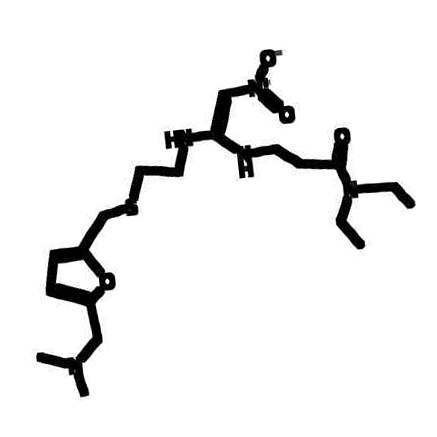 CCN(CC)C(=O)CCN/C(=C\[N+](=O)[O-])NCCSCc1ccc(CN(C)C)o1